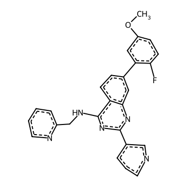 COc1ccc(F)c(-c2ccc3c(NCc4ccccn4)nc(-c4cccnc4)nc3c2)c1